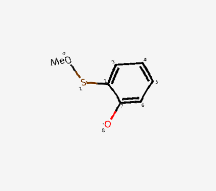 COSc1ccccc1[O]